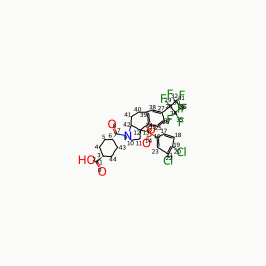 O=C(O)[C@H]1CC[C@H](C(=O)N2CCC3(S(=O)(=O)c4ccc(Cl)c(Cl)c4)c4ccc(C(F)(C(F)(F)F)C(F)(F)F)cc4CCC23)CC1